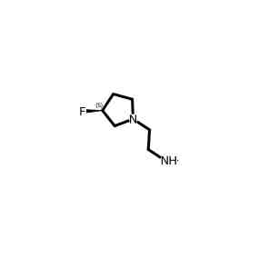 [NH]CCN1CC[C@H](F)C1